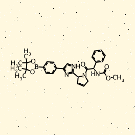 COC(=O)N[C@@H](C(=O)N1CC=CC1c1nc(-c2ccc(B3OC(C)(C)C(C)(C)O3)cc2)c[nH]1)c1ccccc1